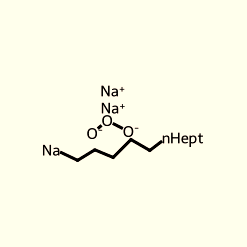 CCCCCCCCCCC[CH2][Na].[Na+].[Na+].[O-]O[O-]